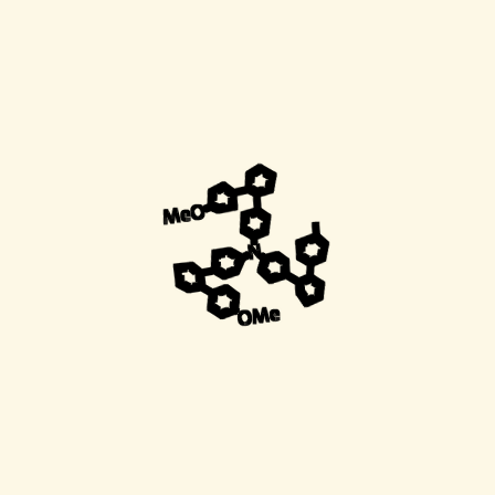 COc1ccc(-c2ccccc2-c2ccc(N(c3ccc(-c4ccccc4-c4ccc(C)cc4)cc3)c3ccc(-c4ccccc4-c4ccc(OC)cc4)cc3)cc2)cc1